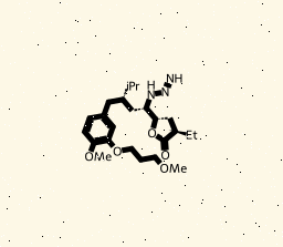 CC[C@@H]1C[C@@H]([C@H](C[C@H](Cc2ccc(OC)c(OCCCOC)c2)C(C)C)NN=N)OC1=O